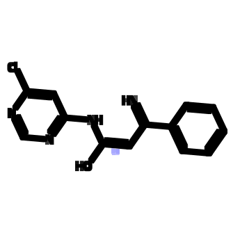 N=C(/C=C(/O)Nc1cc(Cl)ncn1)c1ccccc1